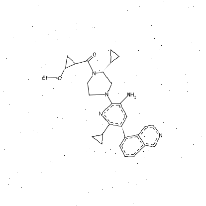 CCOC1CC1C(=O)N1CCN(c2nc(C3CC3)c(-c3cccc4cnccc34)cc2N)C[C@H]1C1CC1